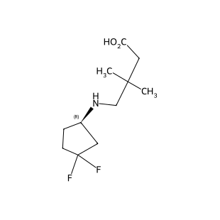 CC(C)(CN[C@@H]1CCC(F)(F)C1)CC(=O)O